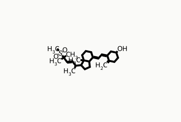 C=C1CCC(O)C/C1=C/C=C1\CCCC2(C)C1CCC2C(C)/C=C/C(C)(C)S(C)(=O)=O